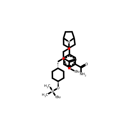 CC(C)(C)OC(=O)N(CCN1C2CCC1CC(c1cccc(C(N)=O)c1)C2)C[C@H]1CC[C@H](O[Si](C)(C)C(C)(C)C)CC1